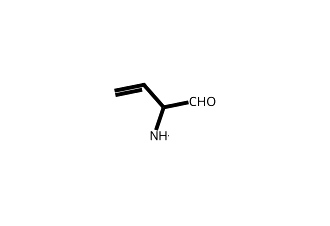 C=CC([NH])C=O